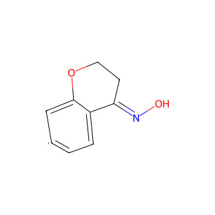 ON=C1CCOc2c[c]ccc21